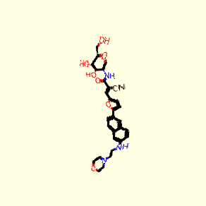 N#C/C(=C\c1ccc(-c2ccc3cc(NCCN4CCOCC4)ccc3c2)o1)C(=O)N[C@H]1CO[C@H](CO)[C@@H](O)[C@@H]1O